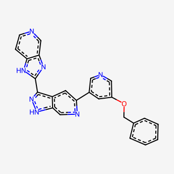 c1ccc(COc2cncc(-c3cc4c(-c5nc6cnccc6[nH]5)n[nH]c4cn3)c2)cc1